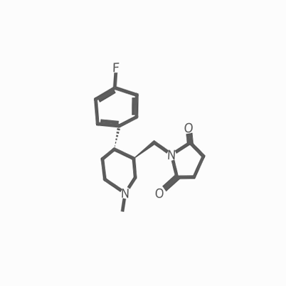 CN1CC[C@H](c2ccc(F)cc2)[C@@H](CN2C(=O)CCC2=O)C1